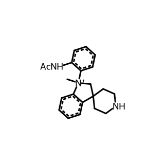 CC(=O)Nc1ccccc1[N+]1(C)CC2(CCNCC2)c2ccccc21